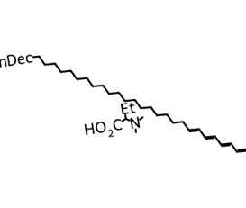 C=CC=CC=CC=CCCCCCCCCCCCCCCCCCCCCCCCCCCCCC.CCC(C(=O)O)N(C)C